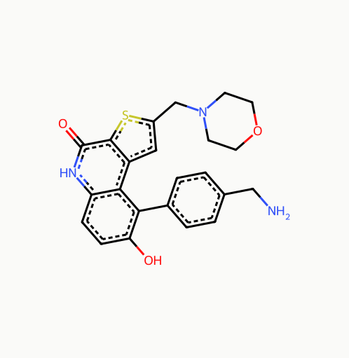 NCc1ccc(-c2c(O)ccc3[nH]c(=O)c4sc(CN5CCOCC5)cc4c23)cc1